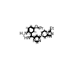 CCc1nnc2n1CCN(c1cc(C(=N)C3CC(OC(C)C)=CC=C3N)ncn1)C2